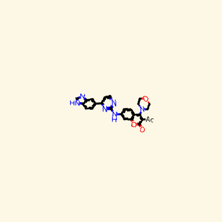 CC(=O)c1c(N2CCOCC2)c2ccc(Nc3nccc(-c4ccc5[nH]cnc5c4)n3)cc2oc1=O